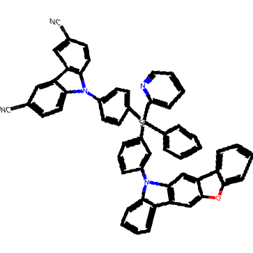 N#Cc1ccc2c(c1)c1cc(C#N)ccc1n2-c1ccc([Si](c2ccccc2)(c2cccc(-n3c4ccccc4c4cc5oc6ccccc6c5cc43)c2)c2ccccn2)cc1